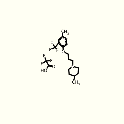 Cc1[c]cc(OCCCN2CCC(C)CC2)c(C(F)(F)F)c1.O=C(O)C(F)(F)F